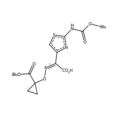 CC(C)COC(=O)C1(O/N=C(\C(=O)O)c2csc(NC(=O)OC(C)(C)C)n2)CC1